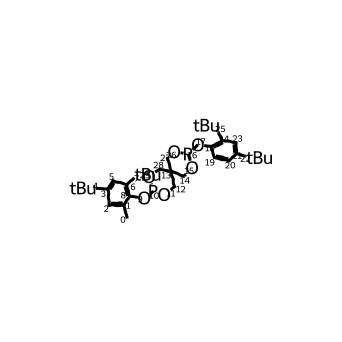 Cc1cc(C(C)(C)C)cc(C(C)(C)C)c1OP1OCC2(COP(Oc3ccc(C(C)(C)C)cc3C(C)(C)C)OC2)CO1